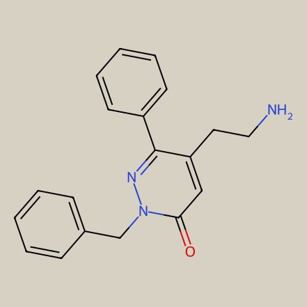 NCCc1cc(=O)n(Cc2ccccc2)nc1-c1ccccc1